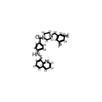 O=C(c1ccc(NSc2cccc3cccnc23)cc1)N1CCN(Cc2cc(F)cc(F)c2)CC1